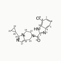 O=C(c1nc2cccc(Cl)c2[nH]1)N1CCn2c(cnc2C2CC2)C1